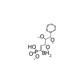 B/C(=C\[C@@H](OC)[C@@H](OC)[C@@H](OC)c1ccccc1)P(=O)(O)OC